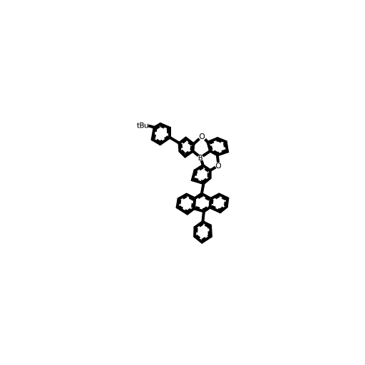 CC(C)(C)c1ccc(-c2ccc3c(c2)Oc2cccc4c2B3c2ccc(-c3c5ccccc5c(-c5ccccc5)c5ccccc35)cc2O4)cc1